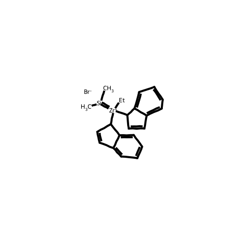 C[CH2][Zr+]([CH]1C=Cc2ccccc21)([CH]1C=Cc2ccccc21)=[Si](C)C.[Br-]